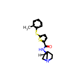 Cc1ccccc1Sc1ccc(C(=O)N[C@H]2CN3CCC2CC3)s1